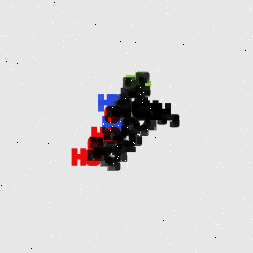 Cc1cccc(C(Nc2cccc(-c3cccc(C(=O)O)c3)c2O)=C2C(=O)Nc3cc(C(F)(F)F)ccc32)c1C